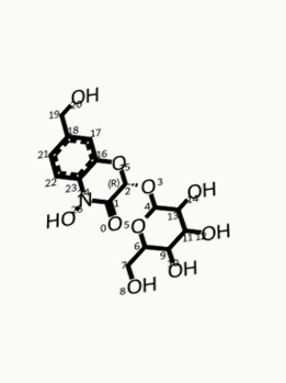 O=C1[C@@H](OC2OC(CO)C(O)C(O)C2O)Oc2cc(CO)ccc2N1O